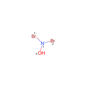 ON(Br)Br